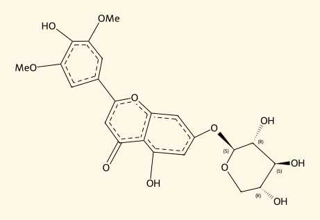 COc1cc(-c2cc(=O)c3c(O)cc(O[C@@H]4OC[C@@H](O)[C@H](O)[C@H]4O)cc3o2)cc(OC)c1O